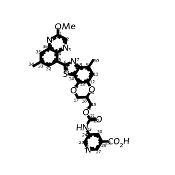 COc1cnc2c(-c3nc4c(C)cc5c(c4s3)OCC(COC(=O)Nc3cncc(C(=O)O)c3)O5)cc(C)cc2n1